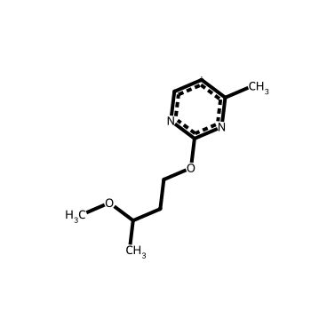 COC(C)CCOc1nc[c]c(C)n1